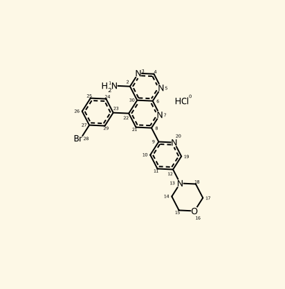 Cl.Nc1ncnc2nc(-c3ccc(N4CCOCC4)cn3)cc(-c3cccc(Br)c3)c12